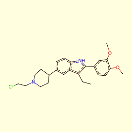 CCc1c(-c2ccc(OC)c(OC)c2)[nH]c2ccc(C3CCN(CCCl)CC3)cc12